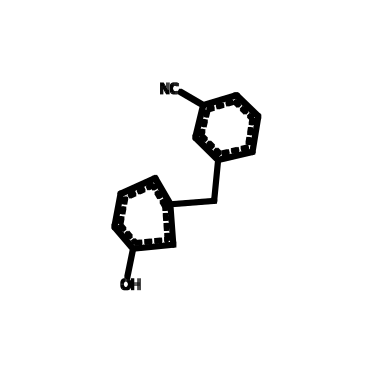 N#Cc1cccc(Cc2cccc(O)c2)c1